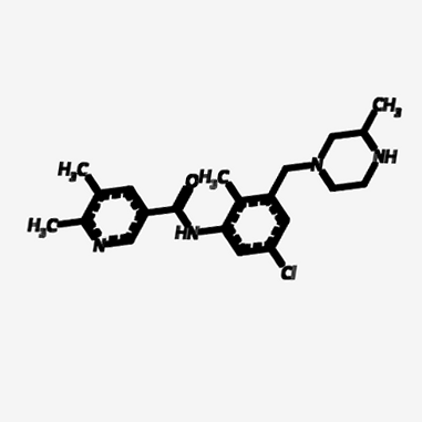 Cc1cc(C(=O)Nc2cc(Cl)cc(CN3CCNC(C)C3)c2C)cnc1C